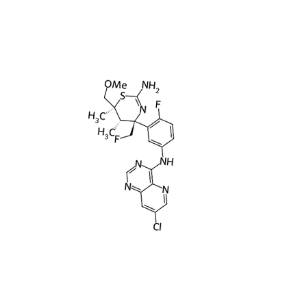 COC[C@@]1(C)SC(N)=N[C@](CF)(c2cc(Nc3ncnc4cc(Cl)cnc34)ccc2F)[C@@H]1C